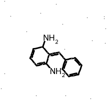 NC1=CC=CC(N)C1=Cc1ccccc1